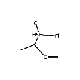 COC(C)[SiH](Cl)Cl